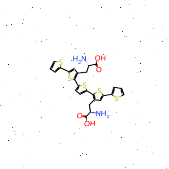 N[C@H](Cc1cc(-c2cccs2)sc1-c1ccc(-c2sc(-c3cccs3)cc2C[C@H](N)C(=O)O)s1)C(=O)O